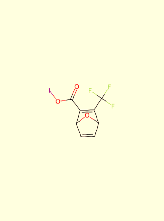 O=C(OI)C1=C(C(F)(F)F)C2C=CC1O2